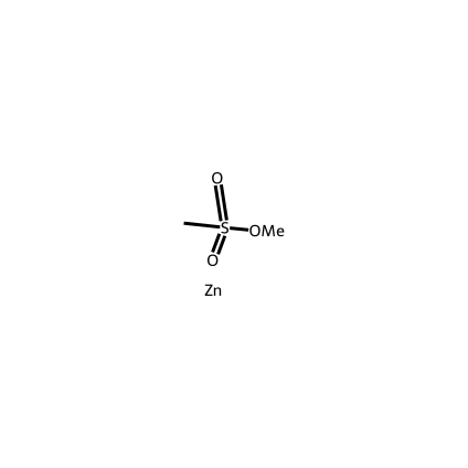 COS(C)(=O)=O.[Zn]